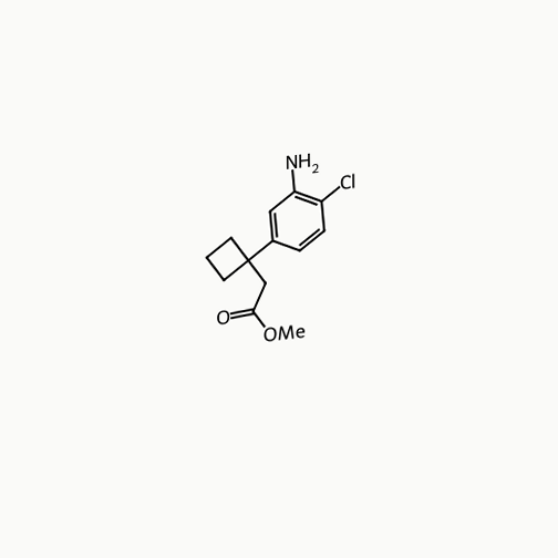 COC(=O)CC1(c2ccc(Cl)c(N)c2)CCC1